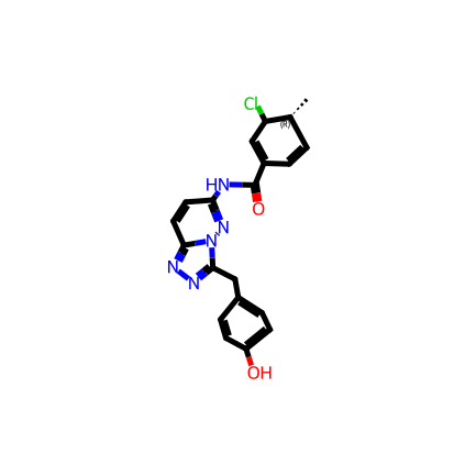 C[C@@H]1C=CC(C(=O)Nc2ccc3nnc(Cc4ccc(O)cc4)n3n2)=CC1Cl